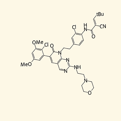 COc1cc(OC)c(Cl)c(-c2cc3cnc(NCCN4CCOCC4)nc3n(CCc3ccc(NC(=O)C(C#N)=CC(C)(C)C)c(Cl)c3)c2=O)c1